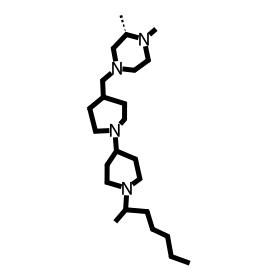 CCCCCC(C)N1CCC(N2CCC(CN3CCN(C)[C@@H](C)C3)CC2)CC1